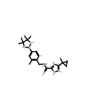 Cc1cc(B2OC(C)(C)C(C)(C)O2)ccc1CNC(=O)c1nc(C2(C)CC2)no1